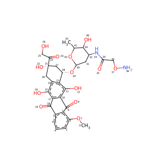 COc1cccc2c1C(=O)c1c(O)c3c(c(O)c1C2=O)C[C@@](O)(C(=O)CO)C[C@@H]3OC1CC(NC(=O)CON)C(O)C(C)O1